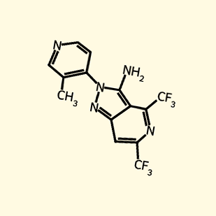 Cc1cnccc1-n1nc2cc(C(F)(F)F)nc(C(F)(F)F)c2c1N